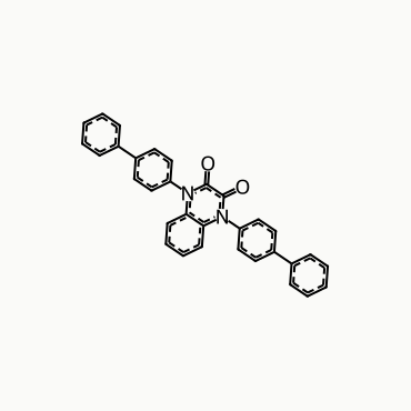 O=c1c(=O)n(-c2ccc(-c3ccccc3)cc2)c2ccccc2n1-c1ccc(-c2ccccc2)cc1